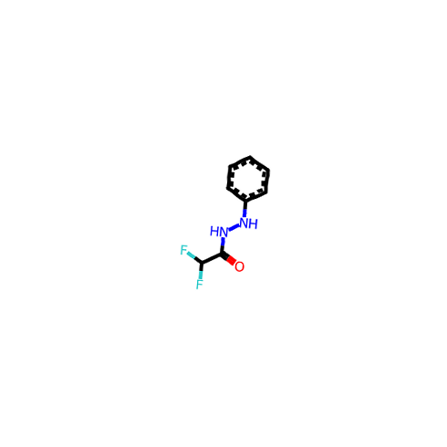 O=C(NNc1ccccc1)C(F)F